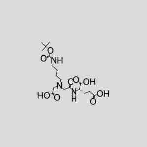 CC(C)(C)OC(=O)NCCCCN(CC(=O)O)CC(=O)N[C@@H](CCC(=O)O)C(=O)O